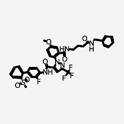 COc1ccc(-n2nc(C(F)(F)F)cc2C(=O)Nc2ccc(-c3ccccc3S(C)(=O)=O)cc2F)c(C(=O)NCCCC(=O)NCc2ccccc2)c1